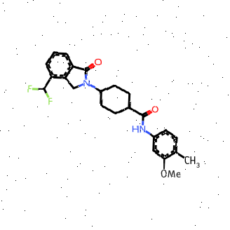 COc1cc(NC(=O)C2CCC(N3Cc4c(cccc4C(F)F)C3=O)CC2)ccc1C